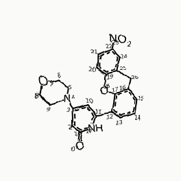 O=c1cc(N2CCOCC2)cc(-c2cccc3c2Oc2ccc([N+](=O)[O-])cc2C3)[nH]1